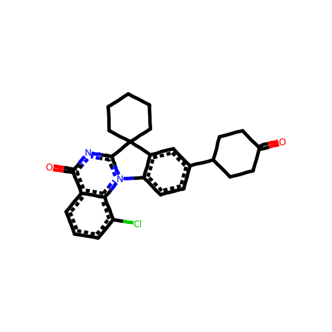 O=C1CCC(c2ccc3c(c2)C2(CCCCC2)c2nc(=O)c4cccc(Cl)c4n2-3)CC1